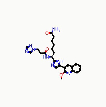 COc1nc2ccccc2cc1-c1cnc([C@H](CCCCCC(N)=O)NC(=O)CCn2cncn2)[nH]1